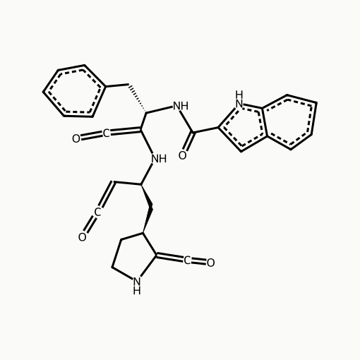 O=C=C[C@H](C[C@@H]1CCNC1=C=O)NC(=C=O)[C@H](Cc1ccccc1)NC(=O)c1cc2ccccc2[nH]1